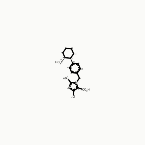 CCCCc1nc(Cl)c(C(=O)O)n1Cc1ccc([C@@H]2CCCC[C@H]2C(=O)O)cc1